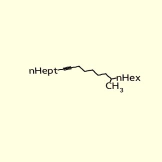 [CH2]CCCCCCC#CCCCCCC(C)CCCCC[CH2]